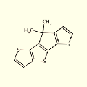 CC1(C)c2ccsc2-c2sc3ccsc3c21